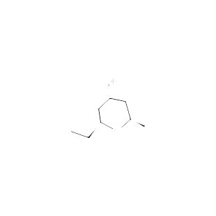 CC[C@H]1C[C@H](O)C[C@@H](C)O1